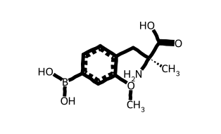 COc1cc(B(O)O)ccc1C[C@](C)(N)C(=O)O